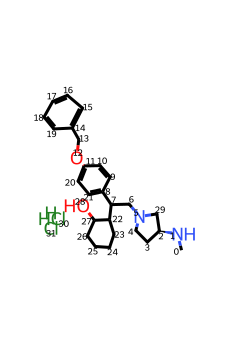 CN[C@H]1CCN(CC(c2ccc(OCc3ccccc3)cc2)C2CCCCC2O)C1.Cl.Cl